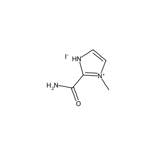 C[n+]1cc[nH]c1C(N)=O.[I-]